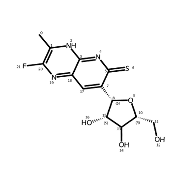 Cc1[nH]c2nc(=S)c([C@@H]3O[C@H](CO)C(O)[C@@H]3O)cc-2nc1F